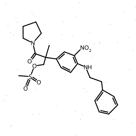 CC(COS(C)(=O)=O)(C(=O)N1CCCC1)c1ccc(NCCc2ccccc2)c([N+](=O)[O-])c1